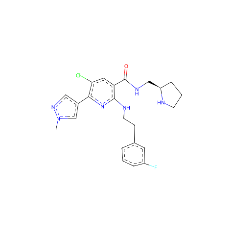 Cn1cc(-c2nc(NCCc3cccc(F)c3)c(C(=O)NC[C@H]3CCCN3)cc2Cl)cn1